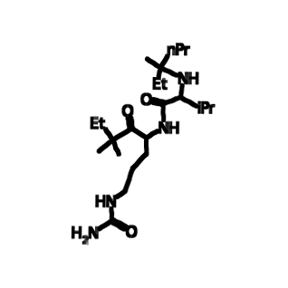 CCCC(C)(CC)NC(C(=O)NC(CCCNC(N)=O)C(=O)C(C)(C)CC)C(C)C